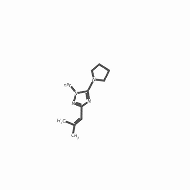 CCCn1nc(C=C(C)C)nc1N1CCCC1